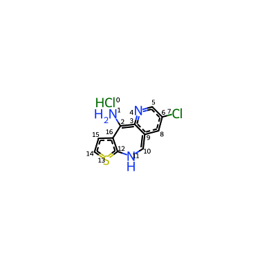 Cl.NC1=c2ncc(Cl)cc2=CNc2sccc21